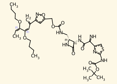 C=C(/C=C(OCCCC)\C(=C/C)OCCCC)c1cc(COC(=O)NC[C@H]2NC(=O)[C@H]2NC(=O)C(=N)c2csc(NC(=O)OC(C)(C)C)n2)on1